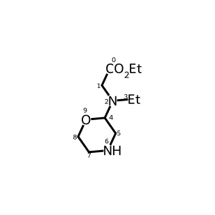 CCOC(=O)CN(CC)C1CNCCO1